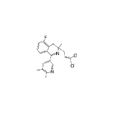 Cc1cc(C2=NC(C)(CC=C(Cl)Cl)Cc3c(F)cccc32)cnc1C